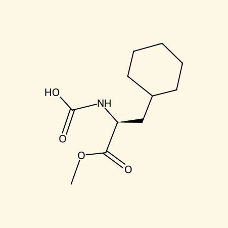 COC(=O)[C@H](CC1CCCCC1)NC(=O)O